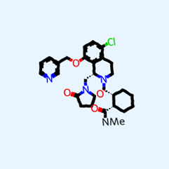 CNC(=O)[C@H]1CCCC[C@H]1C(=O)N1CCc2c(Cl)ccc(OCc3cccnc3)c2[C@H]1CN1CCCC1=O